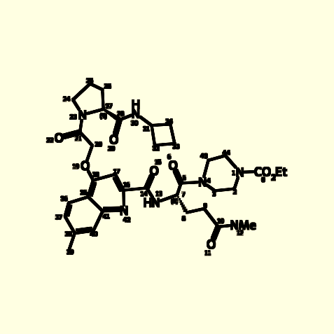 CCOC(=O)N1CCN(C(=O)[C@H](CCC(=O)NC)NC(=O)c2cc(OCC(=O)N3CCC[C@H]3C(=O)NC3CCC3)c3ccc(C)cc3n2)CC1